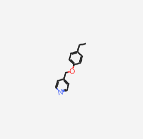 CCc1ccc(OCc2ccncc2)cc1